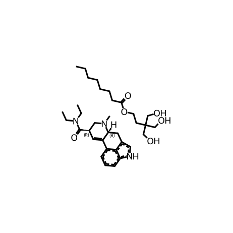 CCCCCCCC(=O)OCCC(CO)(CO)CO.CCN(CC)C(=O)[C@@H]1C=C2c3cccc4[nH]cc(c34)C[C@H]2N(C)C1